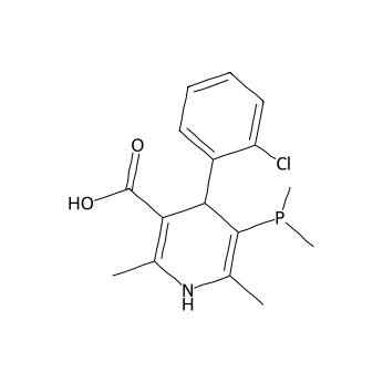 CC1=C(C(=O)O)C(c2ccccc2Cl)C(P(C)C)=C(C)N1